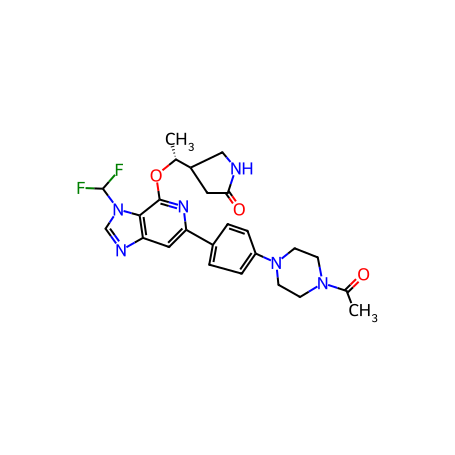 CC(=O)N1CCN(c2ccc(-c3cc4ncn(C(F)F)c4c(O[C@H](C)C4CNC(=O)C4)n3)cc2)CC1